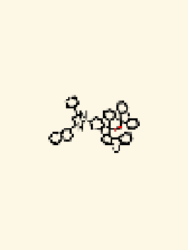 c1ccc(-c2cc(-c3ccc4ccccc4c3)nc(-c3ccc4c(c3)-c3ccc5oc6ccccc6c5c3C43c4ccccc4C4(c5ccccc5-c5ccccc54)c4ccccc43)n2)cc1